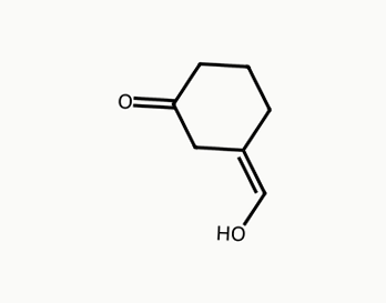 O=C1CCCC(=CO)C1